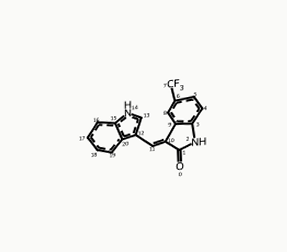 O=C1Nc2ccc(C(F)(F)F)cc2C1=Cc1c[nH]c2ccccc12